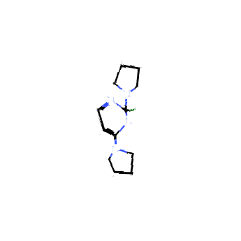 ClC1(N2CCCC2)N=CC=C(N2CCCC2)N1